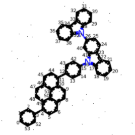 c1ccc(-c2ccc3ccc4c(-c5ccc(-n6c7ccccc7c7ccc(-n8c9ccccc9c9ccccc98)cc76)cc5)ccc5ccc2c3c54)cc1